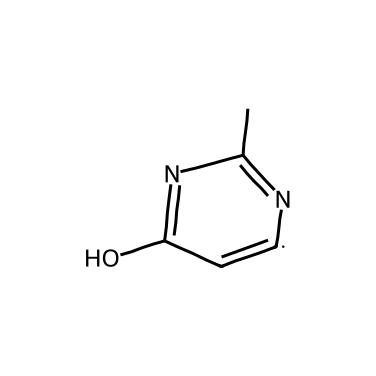 Cc1n[c]cc(O)n1